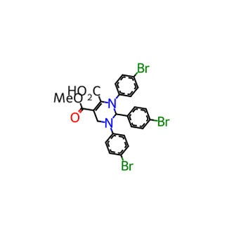 COC(=O)C1=C(C(=O)O)N(c2ccc(Br)cc2)C(c2ccc(Br)cc2)N(c2ccc(Br)cc2)C1